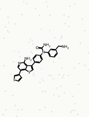 NCc1cccc(N(C(N)=O)c2ccc(-c3csc4c(-c5ccsc5)cnc(N)c34)cc2)c1